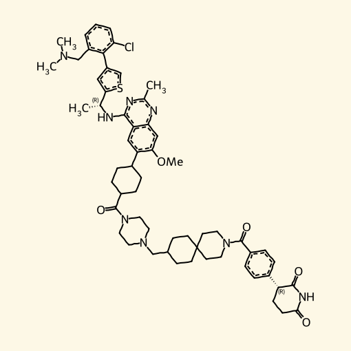 COc1cc2nc(C)nc(N[C@H](C)c3cc(-c4c(Cl)cccc4CN(C)C)cs3)c2cc1C1CCC(C(=O)N2CCN(CC3CCC4(CC3)CCN(C(=O)c3ccc([C@H]5CCC(=O)NC5=O)cc3)CC4)CC2)CC1